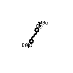 C=C(C(=O)Oc1ccc(C=CC=Cc2ccc(OC(C)OCC)cc2)cc1)C(C)(C)C